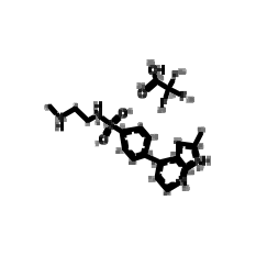 CNCCNS(=O)(=O)c1ccc(-c2ccnc3[nH]c(C)cc23)cc1.O=C(O)C(F)(F)F